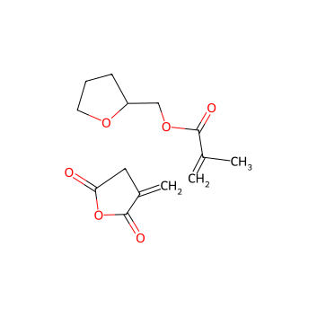 C=C(C)C(=O)OCC1CCCO1.C=C1CC(=O)OC1=O